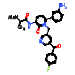 CN[C@H](C)C(=O)Nc1ccc(-c2cccc(N)c2)n(Cc2cncc(C(=O)c3ccc(F)cc3)c2)c1=O